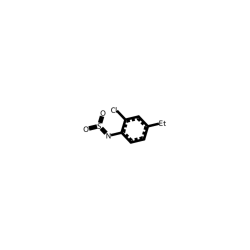 CCc1ccc(N=S(=O)=O)c(Cl)c1